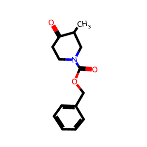 CC1CN(C(=O)OCc2ccccc2)CCC1=O